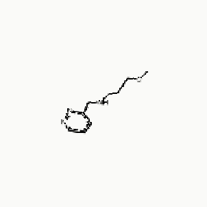 COCCCNCc1cccnn1